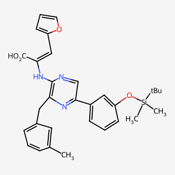 Cc1cccc(Cc2nc(-c3cccc(O[Si](C)(C)C(C)(C)C)c3)cnc2NC(=Cc2ccco2)C(=O)O)c1